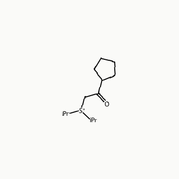 CC(C)[S+](CC(=O)C1CCCC1)C(C)C